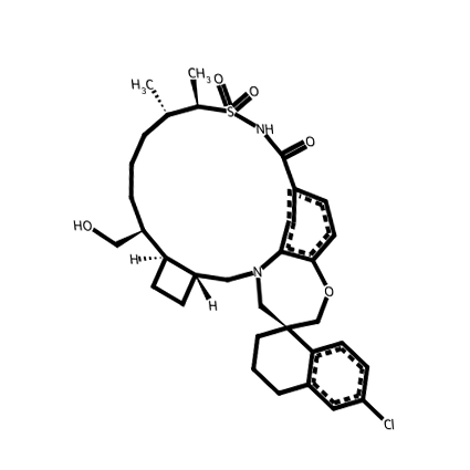 C[C@@H]1[C@@H](C)CCC[C@H](CO)[C@@H]2CC[C@H]2CN2C[C@@]3(CCCc4cc(Cl)ccc43)COc3ccc(cc32)C(=O)NS1(=O)=O